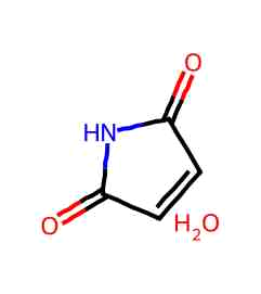 O.O=C1C=CC(=O)N1